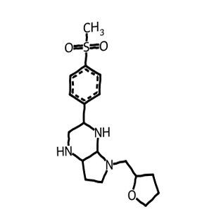 CS(=O)(=O)c1ccc(C2CNC3CCN(CC4CCCO4)C3N2)cc1